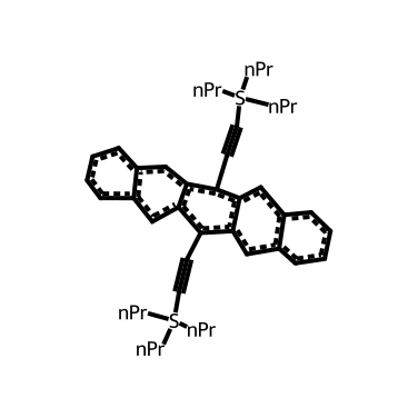 CCCS(C#Cc1c2cc3ccccc3cc2c(C#CS(CCC)(CCC)CCC)c2cc3ccccc3cc12)(CCC)CCC